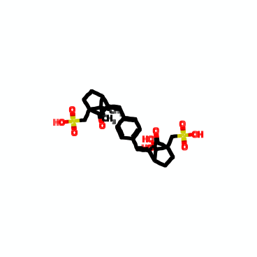 CC1(C)C2CCC1(CS(=O)(=O)O)C(=O)/C2=C\c1ccc(/C=C2\C(=O)C3(CS(=O)(=O)O)CCC2C3(O)O)cc1